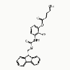 CC(C)c1c(NC(=O)OCC2c3ccccc3-c3ccccc32)cccc1OC(=O)CCCC(C)(C)C